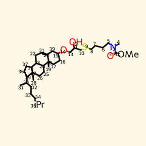 COC(=O)N(C)CCCCSCC(O)COC1CCC2(C)C(=CCC3C2CCC2(C)C(C(C)CCCC(C)C)CCC32)C1